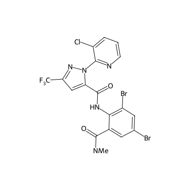 CNC(=O)c1cc(Br)cc(Br)c1NC(=O)c1cc(C(F)(F)F)nn1-c1ncccc1Cl